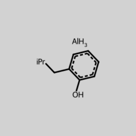 CC(C)Cc1ccccc1O.[AlH3]